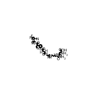 N#C[C@@H]1CC(F)(F)CN1C(=O)CNC(=O)c1ccnc2c(NC(=O)CCC(=O)NCc3cn(CCCC[C@H](NC(=O)C[C@H](N)C(=O)O)C(N)=O)nn3)cccc12